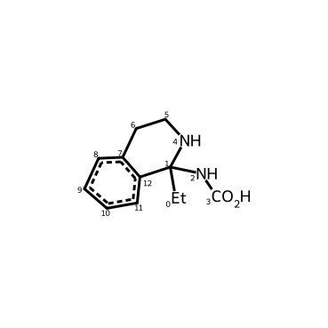 CCC1(NC(=O)O)NCCc2ccccc21